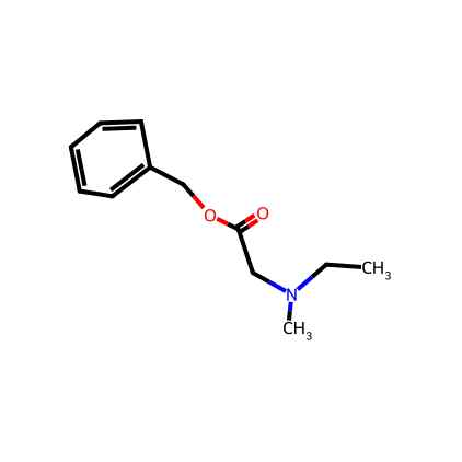 CCN(C)CC(=O)OCc1ccccc1